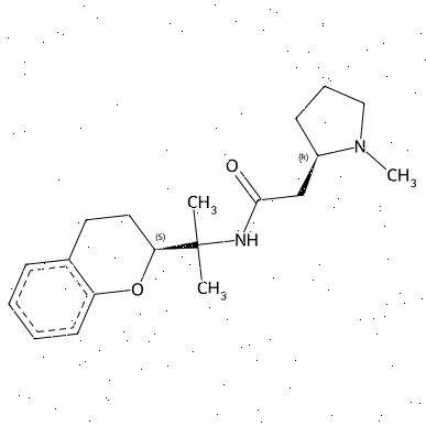 CN1CCC[C@@H]1CC(=O)NC(C)(C)[C@@H]1CCc2ccccc2O1